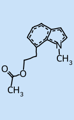 CC(=O)OCCc1cccc2ccn(C)c12